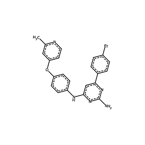 CCc1ccc(-c2cc(Nc3ccc(Oc4ccnc(C)c4)cc3)nc(N)n2)cc1